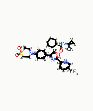 N#CC1(NC(=O)[C@@H]2CCCC[C@H]2c2oc(-c3ccc(C(F)(F)F)cn3)nc2-c2ccc(N3CCS(=O)(=O)CC3)cc2)CC1